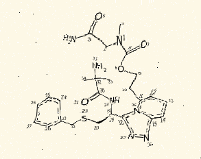 CN(CC(N)=O)C(=O)OCCc1cccc2nnc([C@@H](CSCc3ccccc3)NC(=O)C(C)(C)N)n12